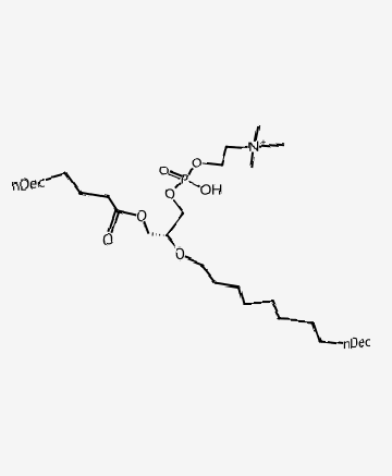 CCCCCCCCCCCCCCCCCCO[C@H](COC(=O)CCCCCCCCCCCCC)COP(=O)(O)OCC[N+](C)(C)C